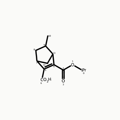 CC(C)OC(=O)C1=C(C(=O)O)C2CC(C)C1C2